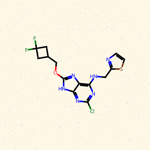 FC1(F)CC(COc2nc3c(NCc4nccs4)nc(Cl)nc3[nH]2)C1